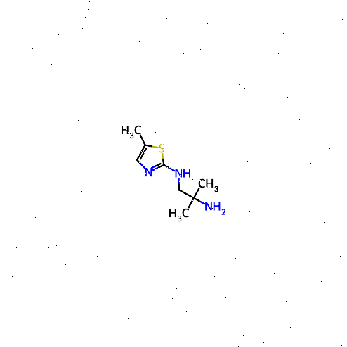 Cc1cnc(NCC(C)(C)N)s1